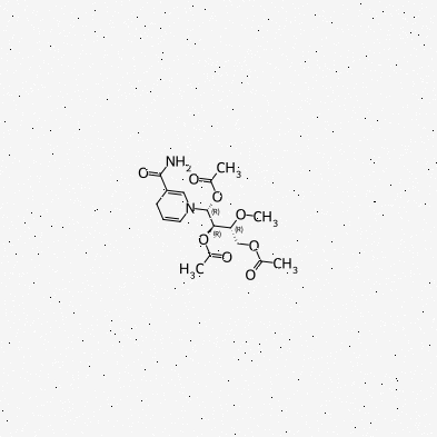 CO[C@H](COC(C)=O)[C@@H](OC(C)=O)[C@@H](OC(C)=O)N1C=CCC(C(N)=O)=C1